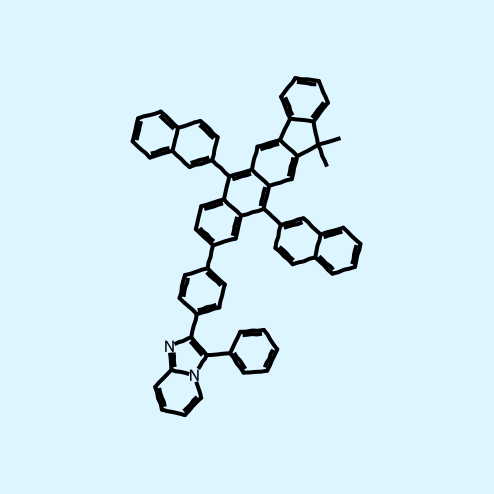 CC1(C)c2ccccc2-c2cc3c(-c4ccc5ccccc5c4)c4ccc(-c5ccc(-c6nc7ccccn7c6-c6ccccc6)cc5)cc4c(-c4ccc5ccccc5c4)c3cc21